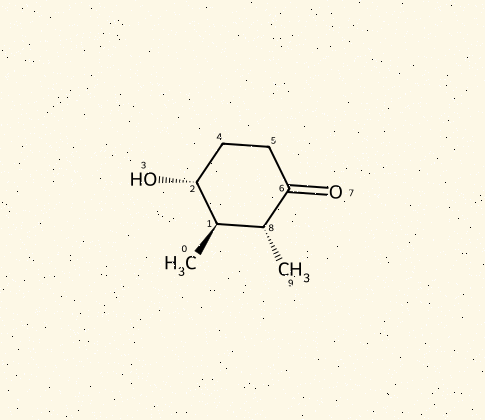 C[C@H]1[C@H](O)CCC(=O)[C@@H]1C